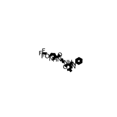 CC(C)c1nn(-c2ccccc2)cc1C(=O)NCCNC(=O)c1ccc(OCC(F)(F)F)nc1